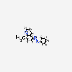 Cc1ccc(/N=N/c2ccccc2)c2cccnc12